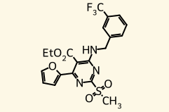 CCOC(=O)c1c(NCc2cccc(C(F)(F)F)c2)nc(S(C)(=O)=O)nc1-c1ccco1